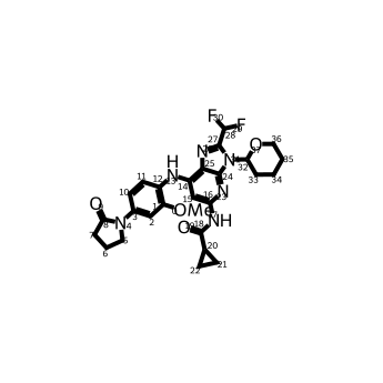 COc1cc(N2CCCC2=O)ccc1Nc1cc(NC(=O)C2CC2)nc2c1nc(C(F)F)n2C1CCCCO1